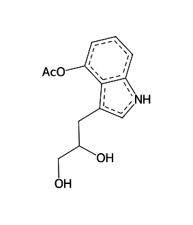 CC(=O)Oc1cccc2[nH]cc(CC(O)CO)c12